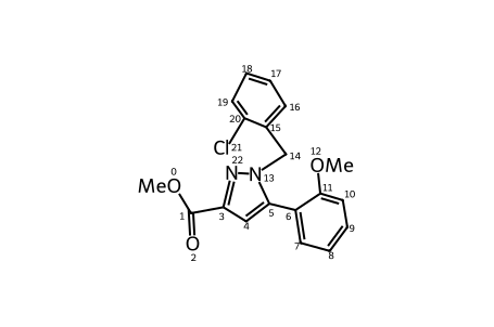 COC(=O)c1cc(-c2ccccc2OC)n(Cc2ccccc2Cl)n1